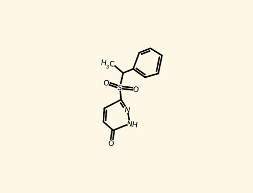 CC(c1ccccc1)S(=O)(=O)c1ccc(=O)[nH]n1